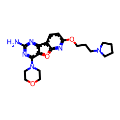 Nc1nc(N2CCOCC2)c2oc3nc(OCCCN4CCCC4)ccc3c2n1